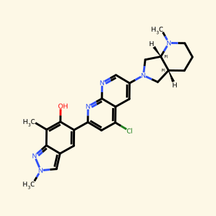 Cc1c(O)c(-c2cc(Cl)c3cc(N4C[C@H]5CCCN(C)[C@H]5C4)cnc3n2)cc2cn(C)nc12